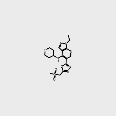 CCn1ncc2c(NC3CCOCC3)c(-c3nnc(CS(C)(=O)=O)o3)cnc21